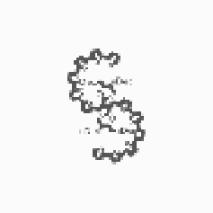 CCCCCCCCCCCCC(CCCCCCCCCC)CN1C(=O)C2=C(c3ccc(-c4ccc(-c5ccc(-c6ccc(-c7ccc(-c8cccs8)s7)s6)s5)s4)s3)N(CC(CCCCCCCCCC)CCCCCCCCCCCC)C(=O)C2=C1c1ccc(-c2ccc(-c3ccc(-c4ccc(-c5ccc(-c6cccs6)s5)s4)s3)s2)s1